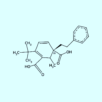 CC1C(C(=O)O)=C(C(C)(C)C)C=C[C@]1(CCc1ccccc1)C(=O)O